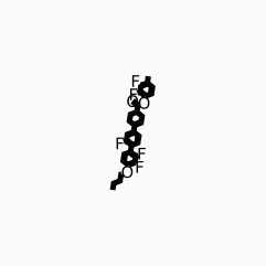 CCCCOc1ccc(-c2ccc(C3=CCC(C(=O)Oc4ccc(C)c(F)c4F)CC3)cc2F)c(F)c1F